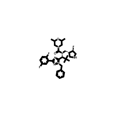 CC1CN(C(=O)N(C[C@H]2CNC[C@@H]2F)[C@@H](c2nc(-c3cc(F)ccc3F)nn2Cc2ccccc2)C(C)(C)C)CC(C)O1